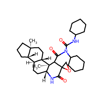 C[C@@]12CCC[C@H]1[C@@H]1CC[C@H]3NC(=O)C4(CO4)C(C(=O)N(C(=O)NC4CCCCC4)C4CCCCC4)[C@]3(C)[C@H]1CC2